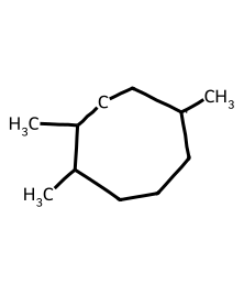 C[C]1CCCC(C)C(C)CC1